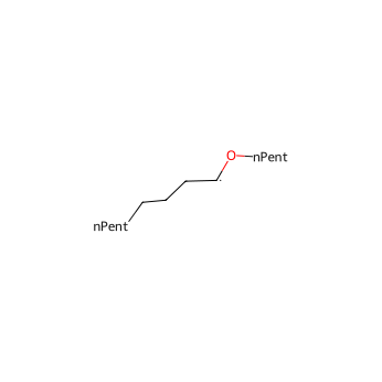 CCCCCCCC[CH]OCCCCC